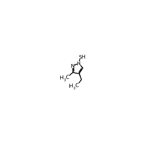 CCc1cn(S)nc1C